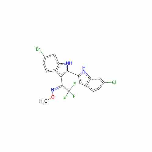 CON=C(c1c(-c2cc3ccc(Cl)cc3[nH]2)[nH]c2cc(Br)ccc12)C(F)(F)F